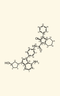 Nc1ncnn2c(C3CCC(O)C3)cc(-c3ccc(NC(=O)c4c5n(n(-c6ccccc6)c4=O)CCCC5)cc3)c12